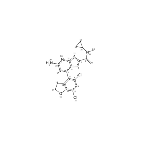 C=C(c1cc2c(-c3c(Cl)cc(Cl)c4c3CCO4)nc(N)nc2s1)N(C)C1CC1